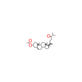 CC(=O)OC1CC[C@@]2(C)C(=CCC3C2CC[C@@]2(C)C3CC[C@@H]2[C@H](C)CCC(=O)C(C)C)C1